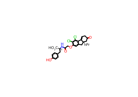 CCC[C@@]12CC(=O)CC=C1c1c(cc(OCC(=O)N[C@@H](Cc3ccc(O)cc3)C(=O)O)c(Cl)c1Cl)C2